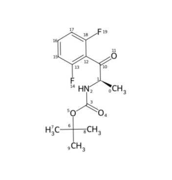 C[C@@H](NC(=O)OC(C)(C)C)C(=O)c1c(F)cccc1F